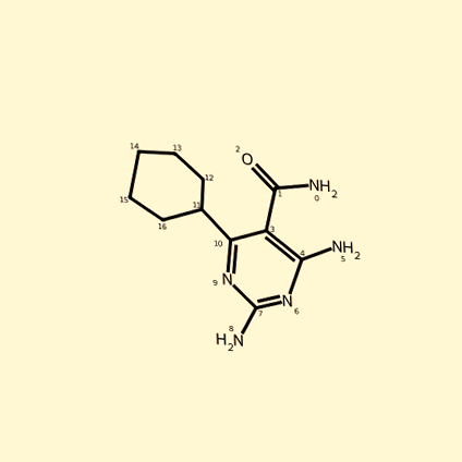 NC(=O)c1c(N)nc(N)nc1C1CCCCC1